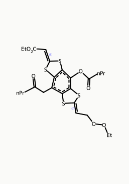 CCCC(=O)Cc1c2c(c(OC(=O)CCC)c3c1S/C(=C\C(=O)OCC)S3)S/C(=C\COOCC)S2